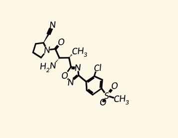 C[C@H](c1nc(-c2ccc(S(C)(=O)=O)cc2Cl)no1)[C@H](N)C(=O)N1CCC[C@H]1C#N